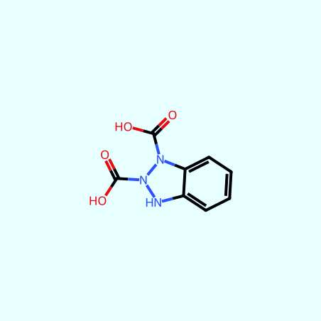 O=C(O)N1Nc2ccccc2N1C(=O)O